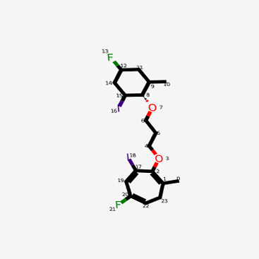 CC1=C(OCCCO[C@H]2C(C)CC(F)CC2I)C(I)=CC(F)=CC1